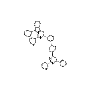 c1ccc(-c2cc(-c3ccc(-c4cccc(-c5cc6c7ccccc7c(-c7ccccc7)n6c(-c6ccccc6)n5)c4)cc3)nc(-c3ccccc3)n2)cc1